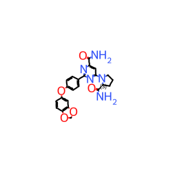 NC(=O)c1cc(N2CCC[C@H]2C(N)=O)nc(-c2ccc(Oc3ccc4c(c3)OCO4)cc2)n1